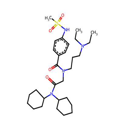 CCN(CC)CCCN(CC(=O)N(C1CCCCC1)C1CCCCC1)C(=O)c1ccc(NS(C)(=O)=O)cc1